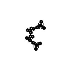 c1ccc(-c2nc(-c3ccccc3)nc(-c3ccc(-c4ccc5c(ccc6c7ccccc7c7cc(-c8cc9c%10ccccc%10c%10ccc(-c%11ccc(-c%12nc(-c%13ccccc%13)nc(-c%13ccccc%13)n%12)cc%11)cc%10c9c9ccccc89)ccc7c56)c4)cc3)n2)cc1